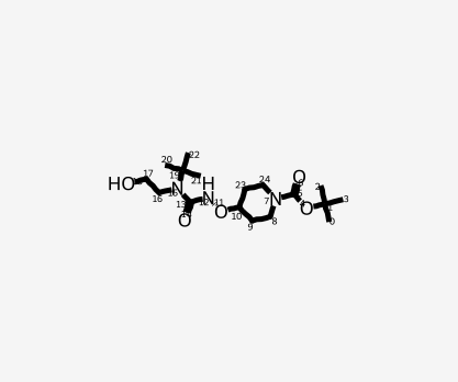 CC(C)(C)OC(=O)N1CCC(ONC(=O)N(CCO)C(C)(C)C)CC1